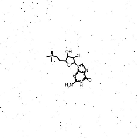 C=P(C)(C)CCC1OC(n2cnc3c(=O)[nH]c(N)nc32)[C@H](Cl)[C@@H]1O